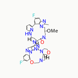 CO[C@H]1CN(C)C(=O)[C@@H]2C[C@@H](CN2c2nc3nc4c2cnn4-c2ccc(F)cc2OCCN2C[C@@H]4OCCN3[C@@H]4C2)Nc2cccc(n2)-c2cc(F)cc3nc(C)n(c23)C1